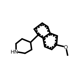 COc1ccc2c(C3CCNCC3)cccc2c1